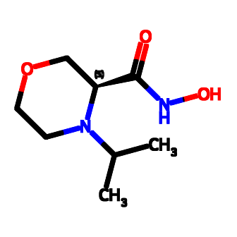 CC(C)N1CCOC[C@H]1C(=O)NO